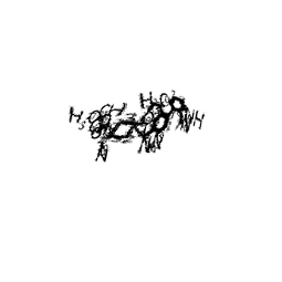 Cc1ccc2[nH]ncc2c1-c1cc2ncnc(N3CCN(C(=O)OC(C)(C)C)[C@@H](CC#N)C3)c2c2c1CCCO2